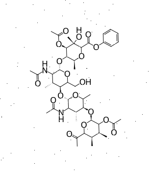 CC(=O)NC1[C@H](O[C@@H]2C(CO)O[C@@H](OC3[C@H](C)OC(C(=O)Oc4ccccc4)[C@@](C)(O)[C@@H]3OC(C)=O)C(NC(C)=O)[C@H]2C)OC(C)[C@@H](O[C@@H]2OC(C(C)=O)[C@H](C)[C@H](C)C2OC(C)=O)[C@@H]1C